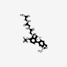 Cn1ncc2cc(F)c(-c3ccc(OC(F)(F)F)c4c3cnn4CC(=O)NCC(=O)NCC(=O)O)cc21